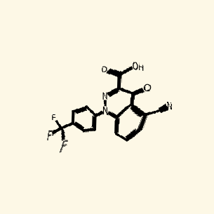 N#Cc1cccc2c1c(=O)c(C(=O)O)nn2-c1ccc(C(F)(F)F)cc1